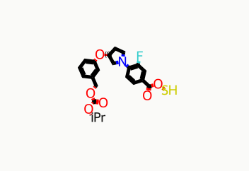 CC(C)OC(=O)OCc1cccc(O[C@H]2CCN(c3ccc(C(=O)OS)cc3F)C2)c1